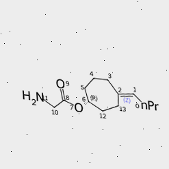 CCC/C=C1/CCC[C@@H](OC(=O)CN)CC1